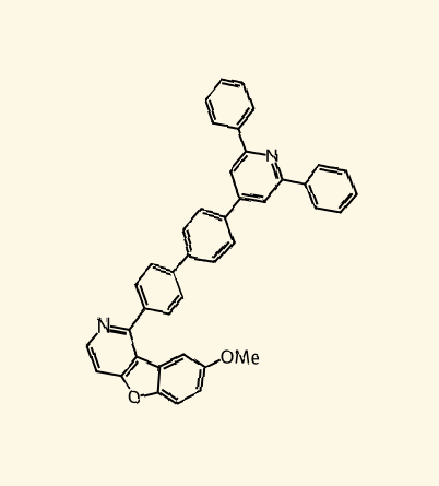 COc1ccc2oc3ccnc(-c4ccc(-c5ccc(-c6cc(-c7ccccc7)nc(-c7ccccc7)c6)cc5)cc4)c3c2c1